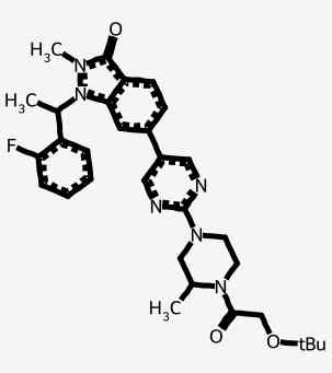 CC1CN(c2ncc(-c3ccc4c(=O)n(C)n(C(C)c5ccccc5F)c4c3)cn2)CCN1C(=O)COC(C)(C)C